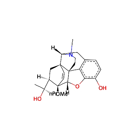 CCC[C@@](C)(O)[C@H]1C[C@]23C=C[C@]1(OC)[C@H]1Oc4c(O)ccc5c4[C@]12CCN(C)[C@H]3C5